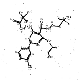 CC(CN)Oc1nc(-c2cccc(C#N)c2)nc(N)c1C(=O)NOCC(C)(C)O.O=C(O)C(F)(F)F